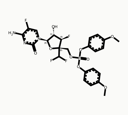 COc1ccc(OP(=O)(OC[C@@]2(C(F)F)O[C@@H](n3cc(F)c(N)nc3=O)[C@H](O)[C@H]2F)Oc2ccc(OC)cc2)cc1